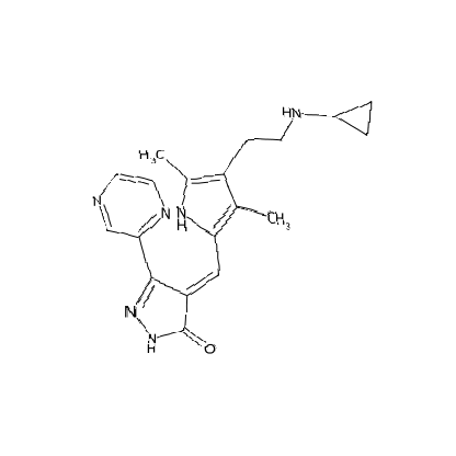 Cc1[nH]c(/C=C2/C(=O)NN=C2c2cnccn2)c(C)c1CCNC1CC1